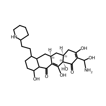 NC(O)C1=C(O)C[C@@H]2C[C@@H]3CC4C(CCC5CCCCN5)CCC(O)C4C(=O)C3=C(O)[C@]2(O)C1=O